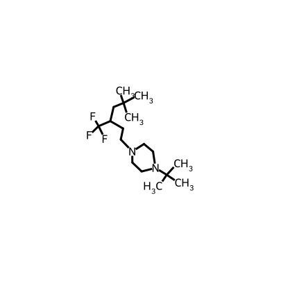 CC(C)(C)CC(CCN1CCN(C(C)(C)C)CC1)C(F)(F)F